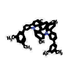 Cc1cc(C)cc(-c2ccc3c4ccccc4n(-c4cc(C#N)cc(-n5c6ccccc6c6ccc(-c7cc(C)cc(C)c7)cc65)c4-c4cc(C)cc(C(F)(F)F)c4)c3c2)c1